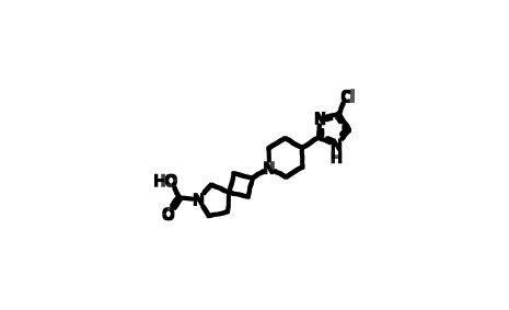 O=C(O)N1CCC2(CC(N3CCC(c4nc(Cl)c[nH]4)CC3)C2)C1